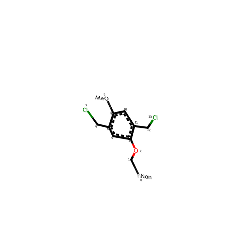 CCCCCCCCCCOc1cc(CCl)c(OC)cc1CCl